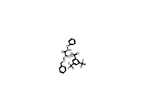 O=C(NO[C@H](COCc1ccccc1)C(=O)NOc1ccccc1)c1cc(C(F)(F)F)cc(C(F)(F)F)c1